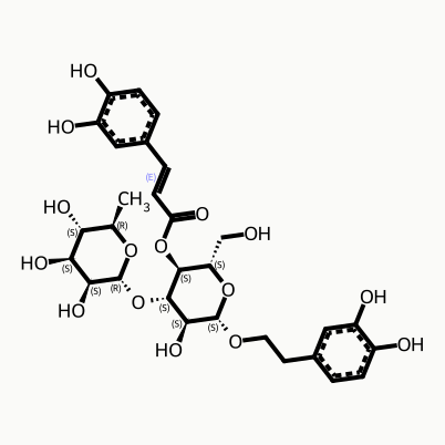 C[C@H]1O[C@H](O[C@H]2[C@H](O)[C@@H](OCCc3ccc(O)c(O)c3)O[C@@H](CO)[C@@H]2OC(=O)/C=C/c2ccc(O)c(O)c2)[C@@H](O)[C@@H](O)[C@@H]1O